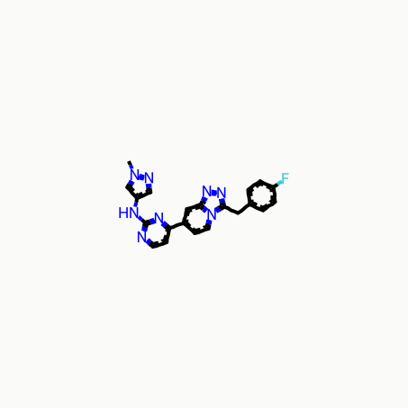 Cn1cc(Nc2nccc(-c3ccn4c(Cc5ccc(F)cc5)nnc4c3)n2)cn1